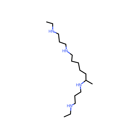 CCNCCCNCCCCCC(C)NCCCNCC